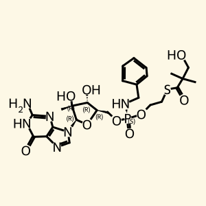 CC(C)(CO)C(=O)SCCO[P@](=O)(NCc1ccccc1)OC[C@H]1O[C@@H](n2cnc3c(=O)[nH]c(N)nc32)[C@](C)(O)[C@@H]1O